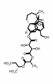 C[C@H](OC(=O)[C@H](O)[C@@H](O)C(=O)OC1=CC[C@@]2(O)[C@H]3Cc4ccc(CO)c5c4[C@@]2(CCCN3C)[C@H]1O5)C(=O)O[C@@H](CC(=O)O)C(=O)O